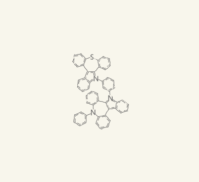 c1ccc(N2c3ccccc3-c3c(n(-c4cccc(-n5c6c(c7ccccc75)-c5ccccc5Sc5ccccc5-6)c4)c4ccccc34)-c3ccccc32)cc1